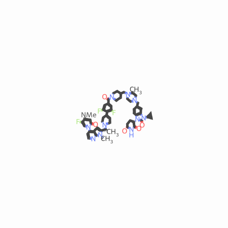 CNc1cc(=O)n(-c2ccnc3c2cc([C@H](C)N2CC=C(c4c(F)cc(C(=O)N5CCC(CN6CCN(Cc7ccc8c(c7)n(C7CC7)c(=O)n8[C@H]7CCC(=O)NC7=O)C[C@@H]6C)CC5)cc4F)CC2)n3C)cc1F